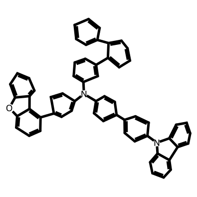 c1ccc(-c2ccccc2-c2cccc(N(c3ccc(-c4ccc(-n5c6ccccc6c6ccccc65)cc4)cc3)c3ccc(-c4cccc5oc6ccccc6c45)cc3)c2)cc1